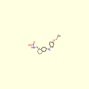 CN(c1ccc(OCC2CC2)cc1)c1ccc2c(c1)CCC[C@H]2CNC(=O)O